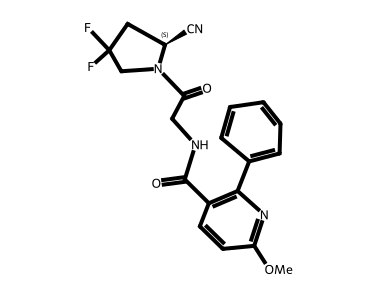 COc1ccc(C(=O)NCC(=O)N2CC(F)(F)C[C@H]2C#N)c(-c2ccccc2)n1